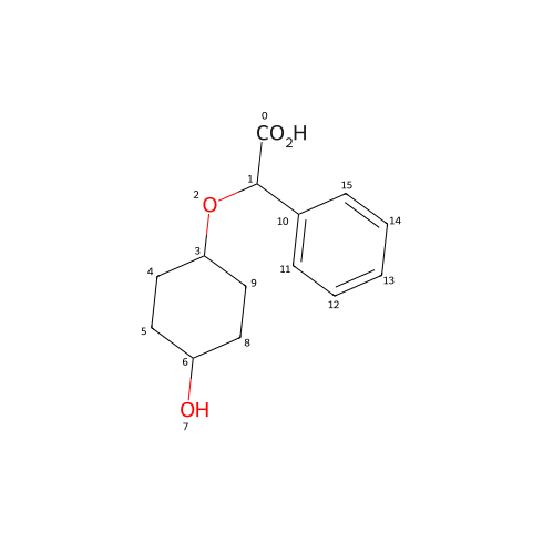 O=C(O)C(OC1CCC(O)CC1)c1ccccc1